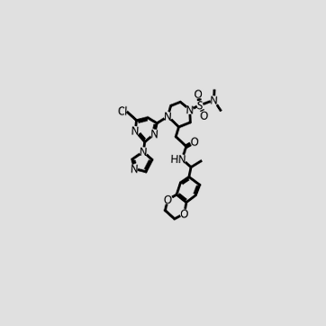 CC(NC(=O)CC1CN(S(=O)(=O)N(C)C)CCN1c1cc(Cl)nc(-n2ccnc2)n1)c1ccc2c(c1)OCCO2